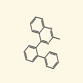 Cc1nc(-c2ccccc2-c2ccccc2)c2ccccc2n1